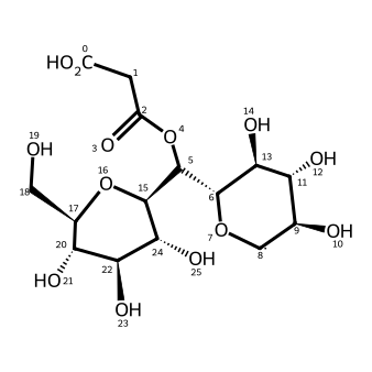 O=C(O)CC(=O)OC([C@H]1O[CH][C@H](O)[C@@H](O)[C@@H]1O)[C@@H]1O[C@H](CO)[C@@H](O)[C@H](O)[C@H]1O